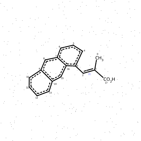 C/C(=C\c1cccc2cc3ccccc3cc12)C(=O)O